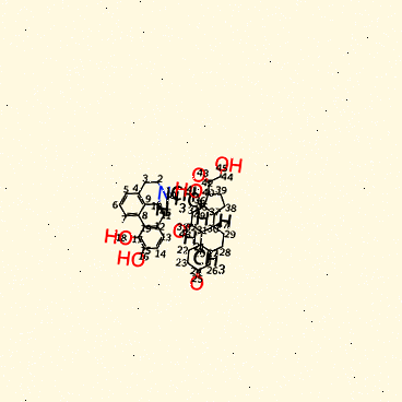 CN1CCc2cccc3c2[C@H]1Cc1ccc(O)c(O)c1-3.C[C@]12CCC(=O)C=C1CC[C@@H]1[C@@H]2C(=O)C[C@@]2(C)[C@H]1CC[C@]2(O)C(=O)CO